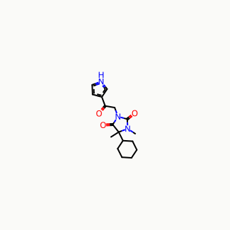 CN1C(=O)N(CC(=O)c2cc[nH]c2)C(=O)C1(C)C1CCCCC1